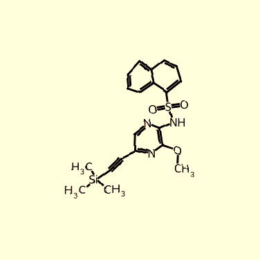 COc1nc(C#C[Si](C)(C)C)cnc1NS(=O)(=O)c1cccc2ccccc12